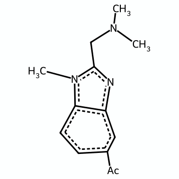 CC(=O)c1ccc2c(c1)nc(CN(C)C)n2C